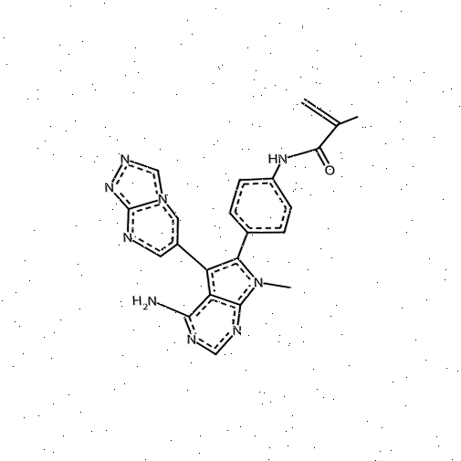 C=C(C)C(=O)Nc1ccc(-c2c(-c3cnc4nncn4c3)c3c(N)ncnc3n2C)cc1